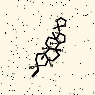 C=C[C@@]1(O)CC[C@@]2(C)[C@@H](CC[C@@H]3[C@@H]2CC[C@]2(C)[C@@H](C4(C)OCCO4)CC[C@@H]32)C1